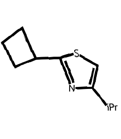 CC(C)c1csc(C2CCC2)n1